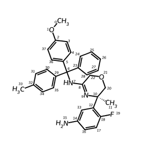 COc1ccc(C(NC2=N[C@](C)(c3cc(N)ccc3F)COC2)(c2ccccc2)c2ccc(C)cc2)cc1